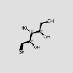 OC[C@@H](O)[C@@H](O)[C@@H](O)C=[Se]